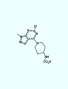 Cn1ncc2c(N3CCC(NC(=O)O)CC3)nc(Cl)nc21